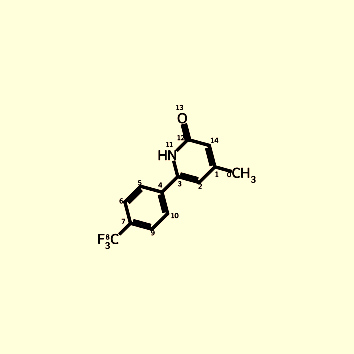 Cc1cc(-c2ccc(C(F)(F)F)cc2)[nH]c(=O)c1